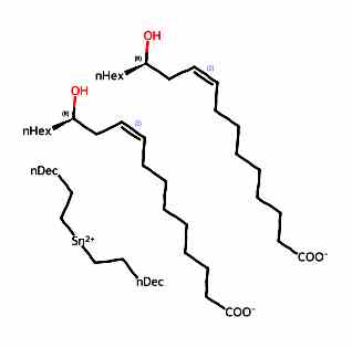 CCCCCCCCCCC[CH2][Sn+2][CH2]CCCCCCCCCCC.CCCCCC[C@@H](O)C/C=C\CCCCCCCC(=O)[O-].CCCCCC[C@@H](O)C/C=C\CCCCCCCC(=O)[O-]